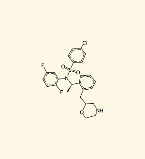 C[C@H](c1ccccc1CC1CNCCO1)N(c1cc(F)ccc1F)S(=O)(=O)c1ccc(Cl)cc1